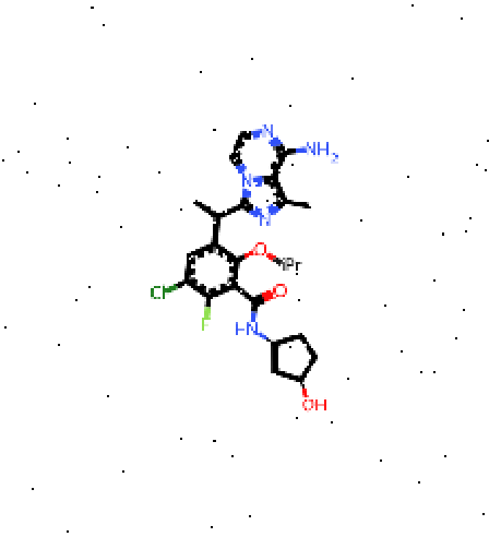 Cc1nc(C(C)c2cc(Cl)c(F)c(C(=O)N[C@H]3CC[C@@H](O)C3)c2OC(C)C)n2ccnc(N)c12